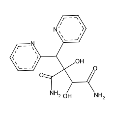 NC(=O)C(O)C(O)(C(N)=O)C(c1ccccn1)c1ccccn1